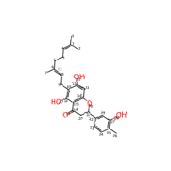 CC(C)=CCC/C(C)=C/Cc1c(O)cc2c(c1O)C(=O)CC(c1ccc(C)c(O)c1)O2